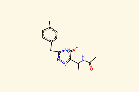 CC(=O)NC(C)c1nnc(Cc2ccc(C)cc2)[nH]c1=O